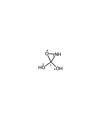 OC1(O)NO1